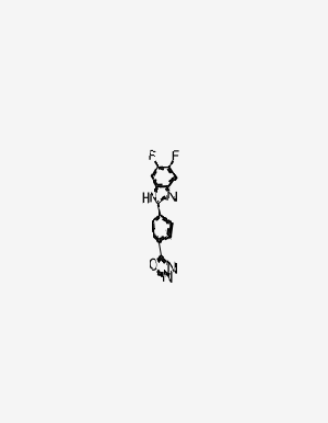 Fc1cc2nc(-c3ccc(-c4nnco4)cc3)[nH]c2cc1F